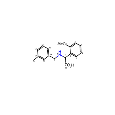 COc1ccccc1C(NCc1cccc(C)c1)C(=O)O